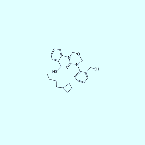 CCCCC1CCC1.S=C1N(c2ccccc2CS)COCN1c1ccccc1CS